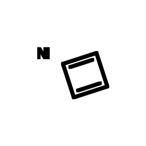 C1=CC=C1.[Ni]